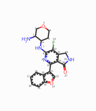 NC1COCCC1Nc1nc(-c2coc3ccccc23)c2c(c1F)CNC2=O